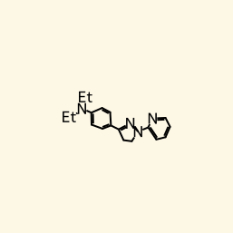 CCN(CC)c1ccc(C2=NN(c3ccccn3)CC2)cc1